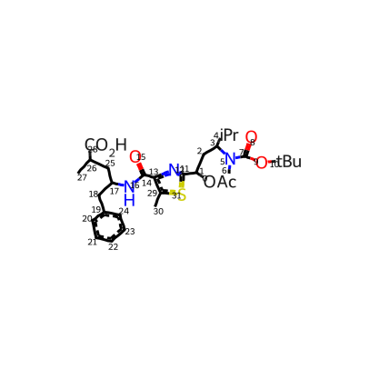 CC(=O)OC(CC(C(C)C)N(C)C(=O)OC(C)(C)C)c1nc(C(=O)NC(Cc2ccccc2)CC(C)C(=O)O)c(C)s1